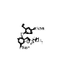 C=Cc1cc(CCCCCCCCC)ccc1Oc1ccc(CCCCCCCCC)cc1C=C.N.O=S(=O)(O)O